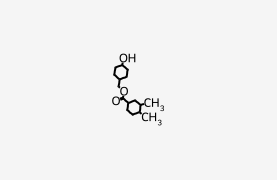 CC1CCC(C(=O)OCC2CCC(O)CC2)CC1C